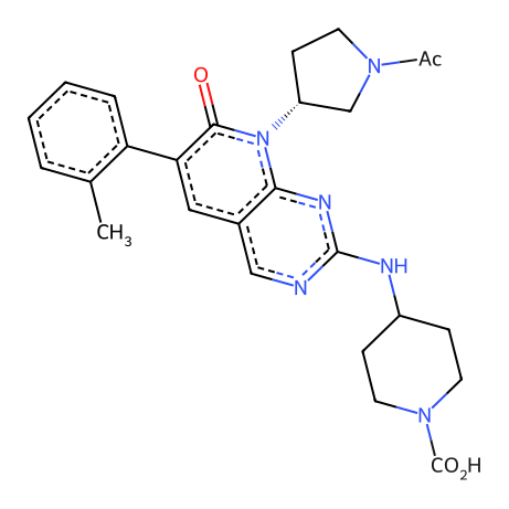 CC(=O)N1CC[C@@H](n2c(=O)c(-c3ccccc3C)cc3cnc(NC4CCN(C(=O)O)CC4)nc32)C1